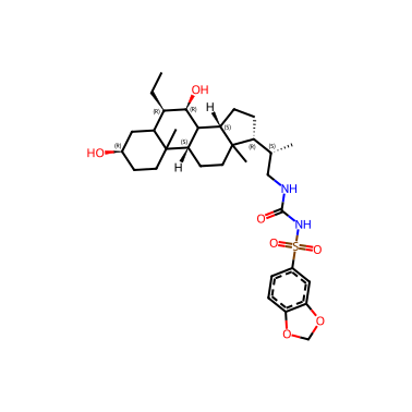 CC[C@@H]1C2C[C@H](O)CCC2(C)[C@H]2CCC3(C)[C@@H]([C@H](C)CNC(=O)NS(=O)(=O)c4ccc5c(c4)OCO5)CC[C@H]3C2[C@@H]1O